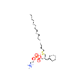 CCCCCCCCCCCCCCCCSCC(COP(=O)(O)OCC[N+](C)(C)C)CC1CCCCC1